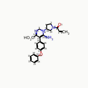 C=CC(=O)N1CC[C@H](N2CN=C(C(=O)O)C(c3ccc(Oc4ccccc4)cc3)=C2N)C1